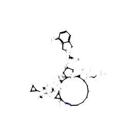 CC(C)(C)CN[C@H]1CCCCC/C=C\[C@@H]2C[C@@]2(C(=O)NS(=O)(=O)C2CC2)NC(=O)[C@@H]2C[C@@H](OC(=O)N3Cc4cccc(F)c4C3)CN2C1=O